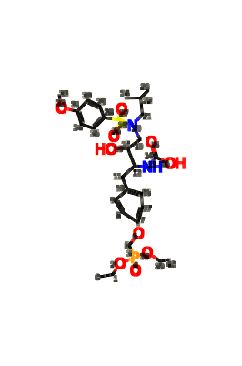 CCOP(=O)(COc1ccc(CC(NC(=O)O)C(O)CN(CC(C)C)S(=O)(=O)c2ccc(OC)cc2)cc1)OCC